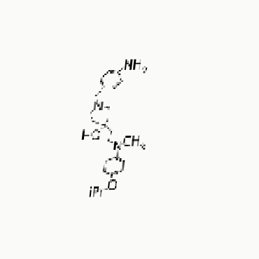 CC(C)Oc1ccc(N(C)CCC2(O)CCN(Cc3ccc(N)cc3)CC2)cc1